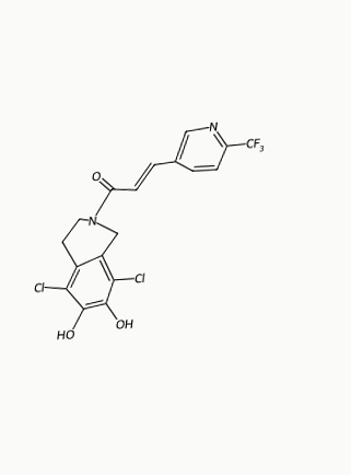 O=C(C=Cc1ccc(C(F)(F)F)nc1)N1CCc2c(Cl)c(O)c(O)c(Cl)c2C1